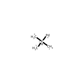 C[PH](C)(C)[Pd]